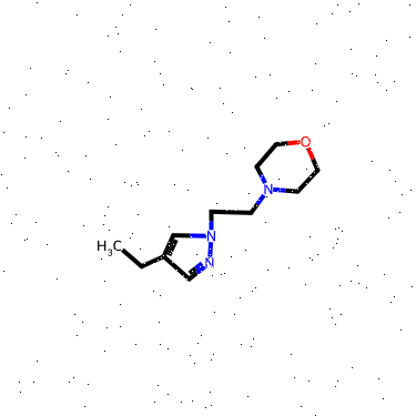 CCc1cnn(CCN2CCOCC2)c1